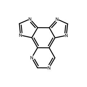 C1=Nc2c(c3c(c4ncncc24)N=CN=3)=N1